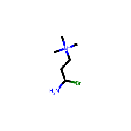 C[N+](C)(C)CCC(N)Br